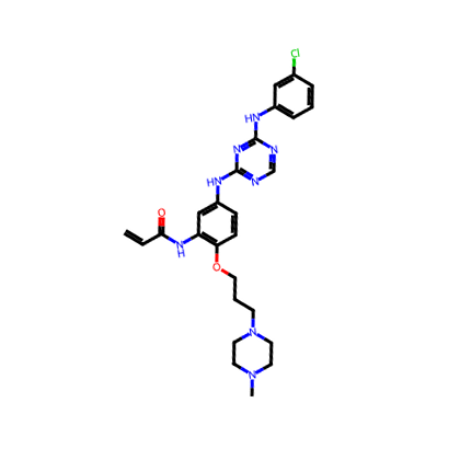 C=CC(=O)Nc1cc(Nc2ncnc(Nc3cccc(Cl)c3)n2)ccc1OCCCN1CCN(C)CC1